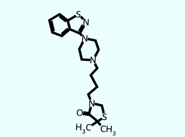 CC1(C)SCN(CCCCN2CCN(c3nsc4ccccc34)CC2)C1=O